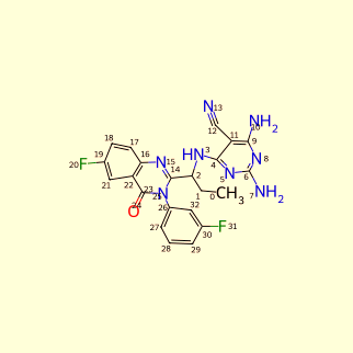 CCC(Nc1nc(N)nc(N)c1C#N)c1nc2ccc(F)cc2c(=O)n1-c1cccc(F)c1